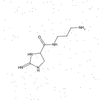 N=C1NCC(C(=O)NCCCN)N1